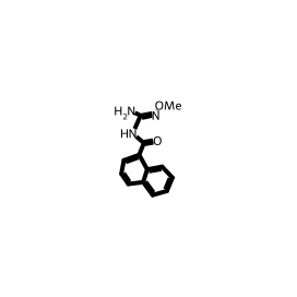 CON=C(N)NC(=O)c1cccc2ccccc12